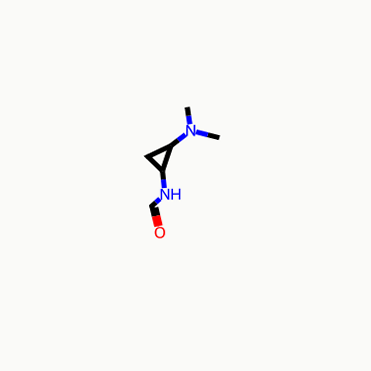 CN(C)C1CC1NC=O